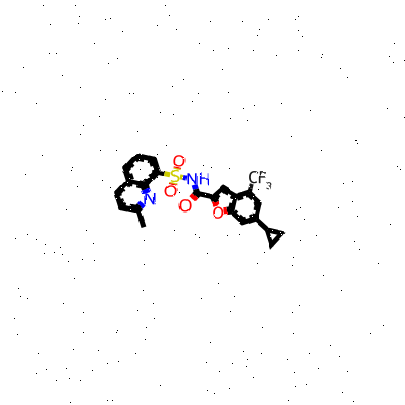 Cc1ccc2cccc(S(=O)(=O)NC(=O)c3cc4c(C(F)(F)F)cc(C5CC5)cc4o3)c2n1